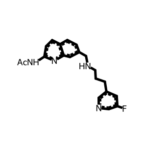 CC(=O)Nc1ccc2ccc(CNCCCc3cncc(F)c3)cc2n1